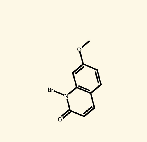 COc1ccc2ccc(=O)n(Br)c2c1